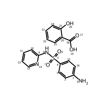 Nc1ccc(S(=O)(=O)Nc2ccccn2)cc1.O=C(O)c1ccccc1O